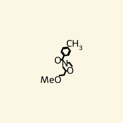 COCCC1CN(C(=O)c2ccc(C)cc2)CCO1